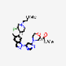 CNC(=O)[C@@H]1CN(c2cc(-n3ncc4cc(C)c([C@@H]5CCN(CCOC)C[C@@H]5F)cc43)ncn2)CCO1